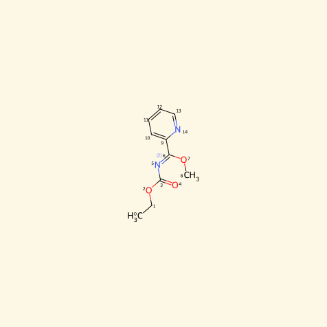 CCOC(=O)/N=C(\OC)c1ccccn1